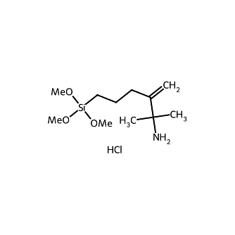 C=C(CCC[Si](OC)(OC)OC)C(C)(C)N.Cl